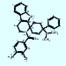 CN(C)C1(c2ccccc2)CCC2(CC1)c1[nH]c3ccccc3c1CCN2C(=O)c1ccc(N)c(Cl)c1